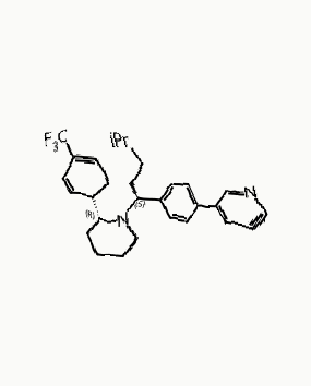 CC(C)CC[C@@H](c1ccc(-c2cccnc2)cc1)N1CCCC[C@@H]1C1C=CC(C(F)(F)F)=CC1